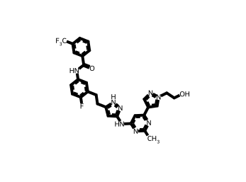 Cc1nc(Nc2cc(CCc3cc(NC(=O)c4cccc(C(F)(F)F)c4)ccc3F)[nH]n2)cc(-c2cnn(CCO)c2)n1